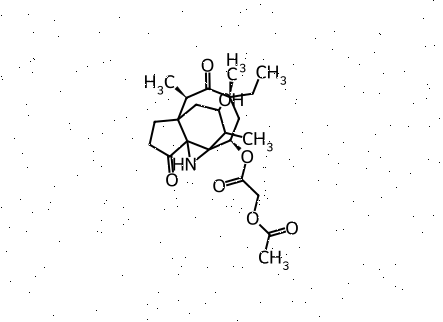 CC[C@]1(C)C[C@@H](OC(=O)COC(C)=O)C23NC24C(=O)CCC4(CC(O)C3C)[C@@H](C)C1=O